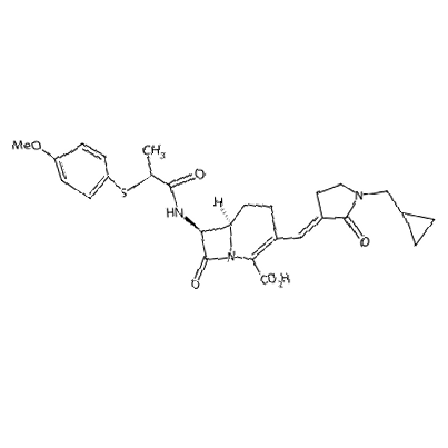 COc1ccc(SC(C)C(=O)N[C@@H]2C(=O)N3C(C(=O)O)=C(/C=C4\CCN(CC5CC5)C4=O)CC[C@H]23)cc1